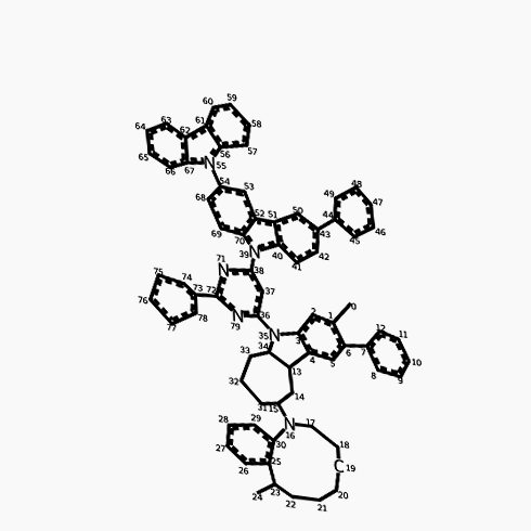 Cc1cc2c(cc1-c1ccccc1)C1CC(N3CCCCCCC(C)c4ccccc43)CCCC1N2c1cc(-n2c3ccc(-c4ccccc4)cc3c3cc(-n4c5ccccc5c5ccccc54)ccc32)nc(-c2ccccc2)n1